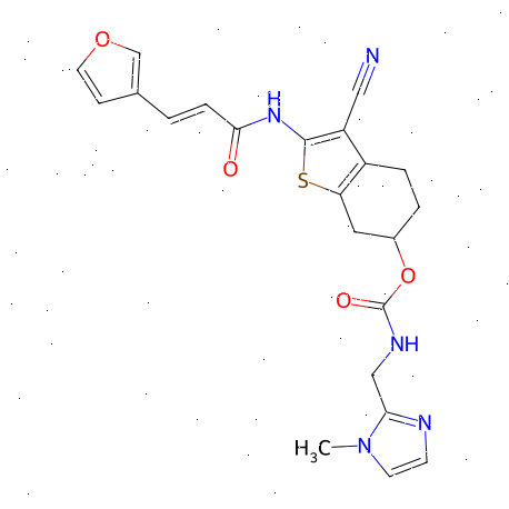 Cn1ccnc1CNC(=O)OC1CCc2c(sc(NC(=O)C=Cc3ccoc3)c2C#N)C1